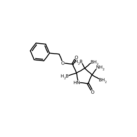 BC1(N)C(=O)NC(B)(C(=O)OCc2ccccc2)C1(B)B